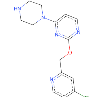 Clc1ccnc(COc2nccc(N3CCNCC3)n2)c1